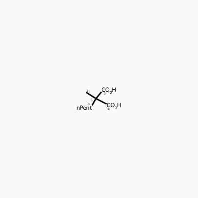 CCCCCC(C)(C(=O)O)C(=O)O